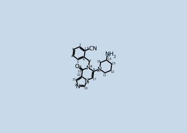 N#Cc1ccccc1Cn1c(N2CCCC(N)C2)cn2cncc2c1=O